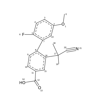 COc1ccc(F)c(-c2ccc(C(=O)O)cc2C(C)(C)C#N)c1